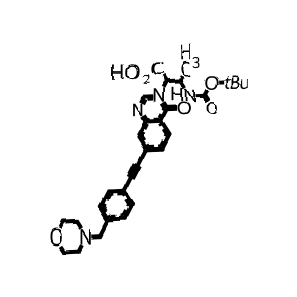 CC(NC(=O)OC(C)(C)C)C(C(=O)O)n1cnc2cc(C#Cc3ccc(CN4CCOCC4)cc3)ccc2c1=O